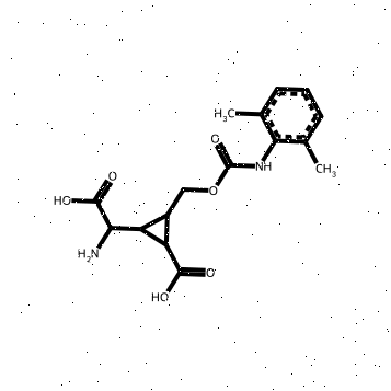 Cc1cccc(C)c1NC(=O)OCC1C(C(=O)O)C1C(N)C(=O)O